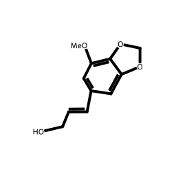 COc1cc(C=CCO)cc2c1OCO2